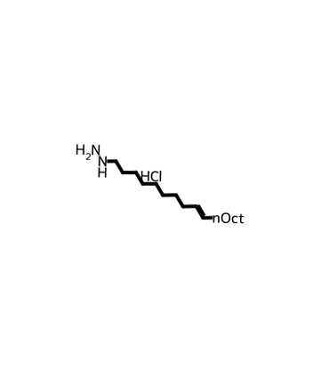 CCCCCCCCC=CCCCCCCCCNN.Cl